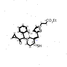 CCOC(=O)CCn1ccc(/C=C2\CN(C(C(=O)C3CC3)c3ccccc3F)CC[C@H]2S)n1